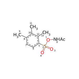 CC(=O)NOS(=O)(=O)c1ccc(C)c(C)c1C